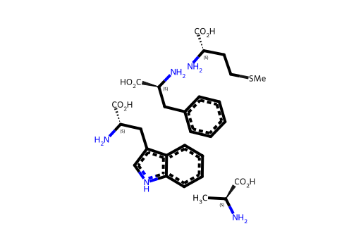 CSCC[C@H](N)C(=O)O.C[C@H](N)C(=O)O.N[C@@H](Cc1c[nH]c2ccccc12)C(=O)O.N[C@@H](Cc1ccccc1)C(=O)O